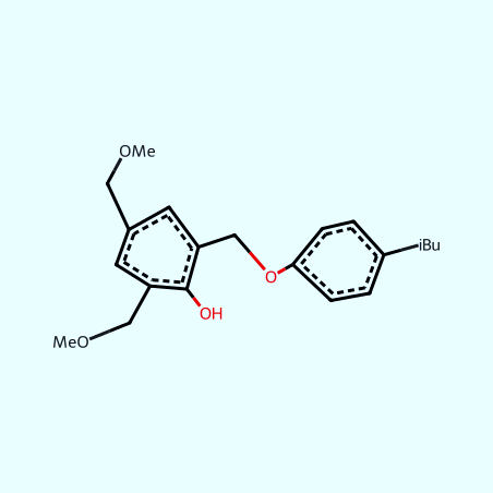 CCC(C)c1ccc(OCc2cc(COC)cc(COC)c2O)cc1